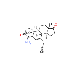 C#CCC1=CC2=C(N)C(=O)CC[C@]2(C)[C@H]2CC[C@]3(C)C(=O)CC[C@H]3[C@H]12